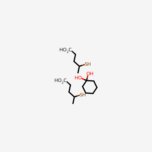 CC(S)CCC(=O)O.CC(S)CCC(=O)O.OC1(O)CCCCC1